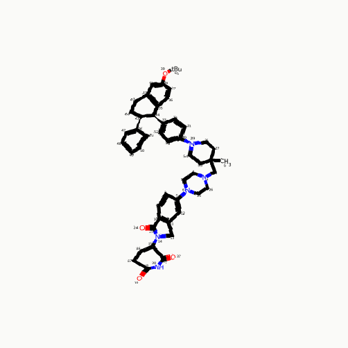 CC1(CN2CCN(c3ccc4c(c3)CN(C3CCC(=O)NC3=O)C4=O)CC2)CCN(c2ccc([C@@H]3c4ccc(OC(C)(C)C)cc4CC[C@@H]3c3ccccc3)cc2)CC1